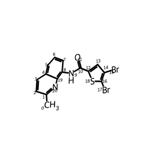 Cc1ccc2cccc(NC(=O)c3cc(Br)c(Br)s3)c2n1